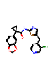 O=C(Nc1ncc(Cc2ccncc2Cl)s1)C1(c2ccc3c(c2)OCO3)CC1